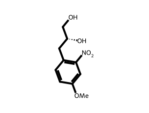 COc1ccc(C[C@@H](O)CO)c([N+](=O)[O-])c1